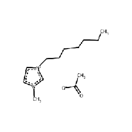 CC(=O)[O-].CCCCCCC[n+]1ccn(C)c1